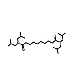 CC(C)CN(CC(C)C)C(=O)CCCCCCCCC(=O)N(CC(C)C)CC(C)C